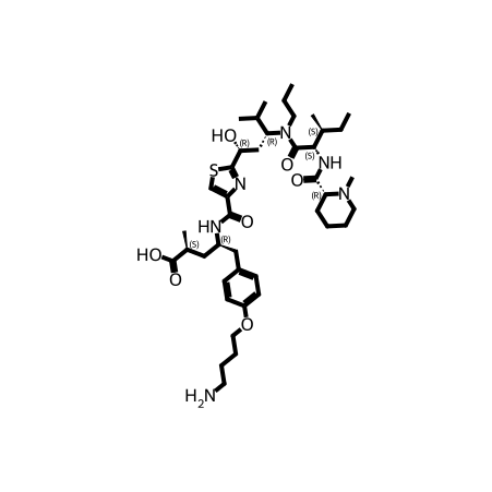 CCCN(C(=O)[C@@H](NC(=O)[C@H]1CCCCN1C)[C@@H](C)CC)[C@H](C[C@@H](O)c1nc(C(=O)N[C@@H](Cc2ccc(OCCCCN)cc2)C[C@H](C)C(=O)O)cs1)C(C)C